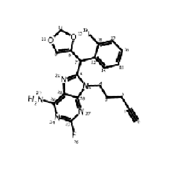 C#CCCCn1c(C(C2=COCO2)c2ccccc2I)nc2c(N)nc(F)nc21